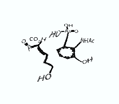 CC(=O)Nc1c(O)cccc1[As](=O)(O)O.O=P/C(=C\CCO)C(=O)O